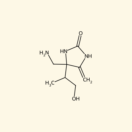 C=C1NC(=O)NC1(CN)C(C)CO